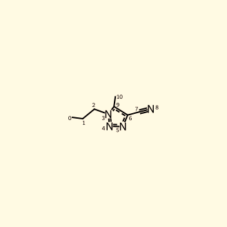 CCCn1nnc(C#N)c1C